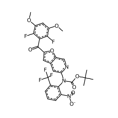 COc1cc(OC)c(F)c(C(=O)c2cc3cc(N(C(=O)OC(C)(C)C)c4c([N+](=O)[O-])cccc4C(F)(F)F)ncc3o2)c1F